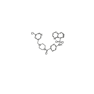 O=C(c1ccc(NS(=O)(=O)c2c#ccc3cccnc23)cc1)N1CCN(Cc2cncc(Cl)c2)CC1